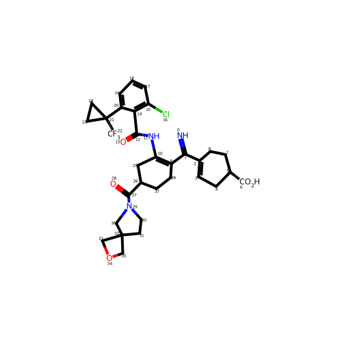 N=C(C1=CCC(C(=O)O)CC1)C1=C(NC(=O)c2c(Cl)cccc2C2(C(F)(F)F)CC2)CC(C(=O)N2CCC3(COC3)C2)CC1